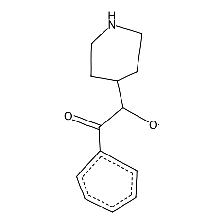 [O]C(C(=O)c1ccccc1)C1CCNCC1